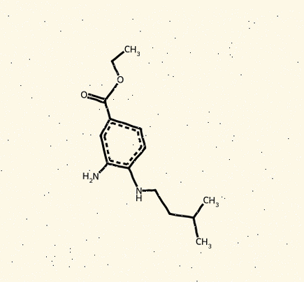 CCOC(=O)c1ccc(NCCC(C)C)c(N)c1